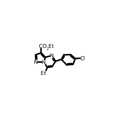 CCOC(=O)c1cnn2c(CC)cc(-c3ccc(Cl)cc3)nc12